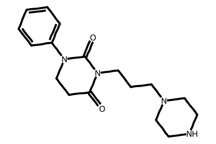 O=C1CCN(c2ccccc2)C(=O)N1CCCN1CCNCC1